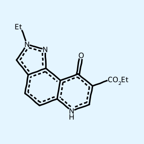 CCOC(=O)c1c[nH]c2ccc3cn(CC)nc3c2c1=O